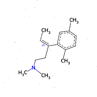 C/C=C(/CCN(C)C)c1cc(C)ccc1C